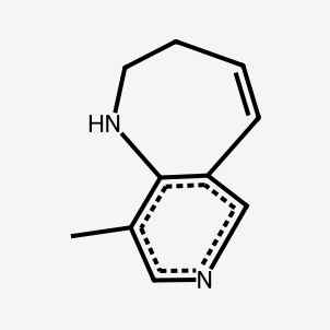 Cc1cncc2c1NCCC=C2